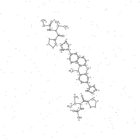 COC(=O)NC(C(=O)N1CCC[C@H]1c1ncc(-c2ccc3c4c(ccc3c2)Oc2cc(-c3cnc([C@@H]5CCCN5C(=O)C(NC(=O)O)C(C)C)[nH]3)ccc2C4C)[nH]1)C(C)C